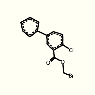 O=C(OCBr)c1cc(-c2ccccc2)ccc1Cl